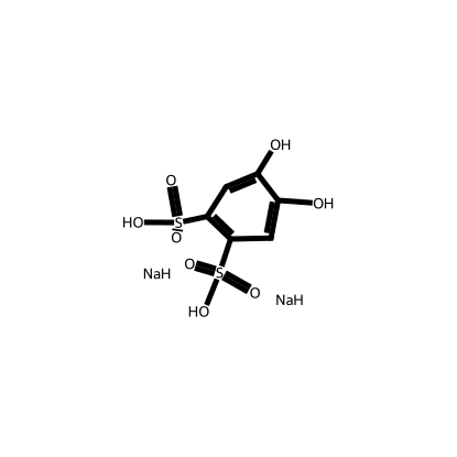 O=S(=O)(O)c1cc(O)c(O)cc1S(=O)(=O)O.[NaH].[NaH]